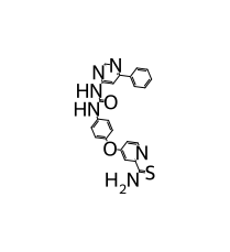 NC(=S)c1cc(Oc2ccc(NC(=O)Nc3cc(-c4ccccc4)ncn3)cc2)ccn1